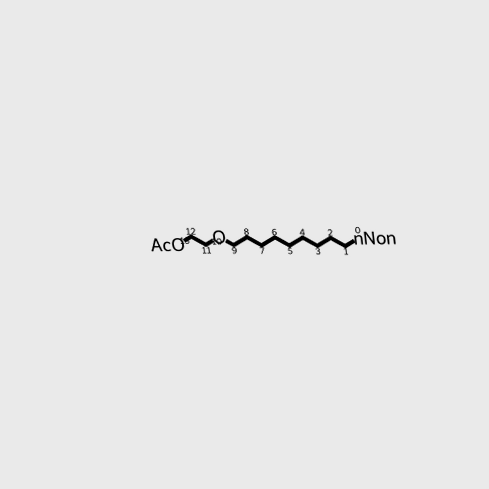 CCCCCCCCCCCCCCCCCCOCCOC(C)=O